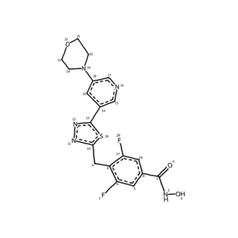 O=C(NO)c1cc(F)c(Cc2nnc(-c3cncc(N4CCOCC4)c3)s2)c(F)c1